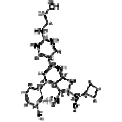 Nc1c([S+]([O-])C2CCC2)sc2nc(-c3cnc(NCCO)nc3)cc(-c3cccc(F)c3)c12